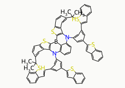 CC1(C)c2ccc3sc4c(c3c2)N(c2cc(cc(-c3cc5ccccc5s3)c2)C2=Cc3ccccc3[SH]21)c1cccc2c1B4c1sc3ccc4cc3c1N2c1cc(cc(-c2cc3ccccc3s2)c1)C1=Cc2ccccc2[SH]1C4(C)C